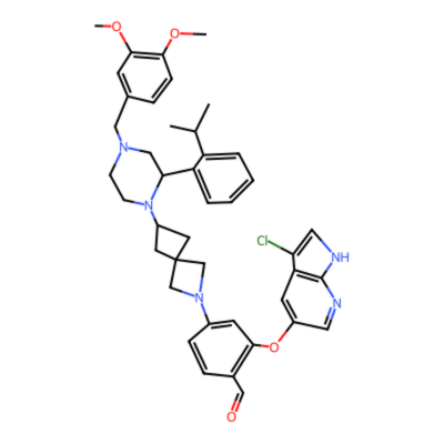 COc1ccc(CN2CCN(C3CC4(C3)CN(c3ccc(C=O)c(Oc5cnc6[nH]cc(Cl)c6c5)c3)C4)C(c3ccccc3C(C)C)C2)cc1OC